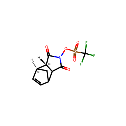 O=C1C2C3C=C[C@H](C3)[C@@H]2C(=O)N1OS(=O)(=O)C(F)(F)F